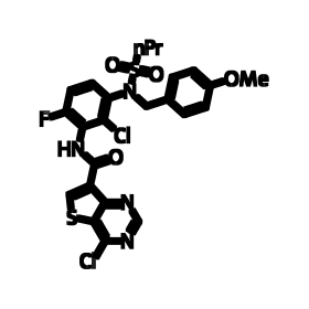 CCCS(=O)(=O)N(Cc1ccc(OC)cc1)c1ccc(F)c(NC(=O)c2csc3c(Cl)ncnc23)c1Cl